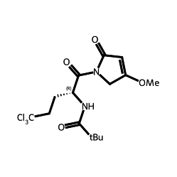 COC1=CC(=O)N(C(=O)[C@@H](CCC(Cl)(Cl)Cl)NC(=O)C(C)(C)C)C1